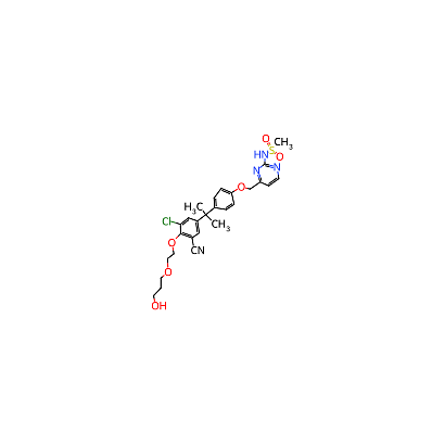 CC(C)(c1ccc(OCc2ccnc(NS(C)(=O)=O)n2)cc1)c1cc(Cl)c(OCCOCCCO)c(C#N)c1